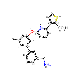 Cc1cc(Oc2cccc(-c3ccsc3C(=O)O)n2)cc(-c2cccc(CN)c2)c1